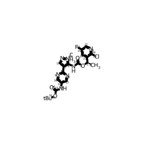 C[C@@H](OC(=O)Nc1c(-c2ncc(NC(=O)OC(C)(C)C)cn2)cnn1C)c1cc(F)cnc1Cl